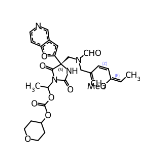 C=C(/C=C\C(=C/C)OC)CN(C=O)C[C@@]1(c2cc3cnccc3o2)NC(=O)N(C(C)OC(=O)OC2CCOCC2)C1=O